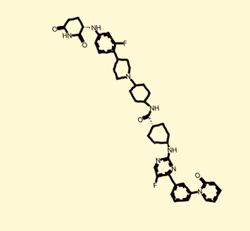 O=C1CC[C@H](Nc2ccc(C3CCN(C4CCC(NC(=O)[C@H]5CC[C@H](Nc6ncc(F)c(-c7cccc(-n8ccccc8=O)c7)n6)CC5)CC4)CC3)c(F)c2)C(=O)N1